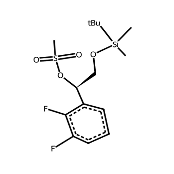 CC(C)(C)[Si](C)(C)OC[C@H](OS(C)(=O)=O)c1cccc(F)c1F